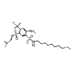 CCCCCCCCCCNS(=O)(=O)c1cc(S(=O)(=O)/N=C/N(C)C)c(C(F)(F)F)cc1N